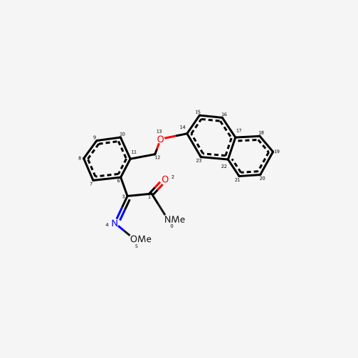 CNC(=O)/C(=N\OC)c1ccccc1COc1ccc2ccccc2c1